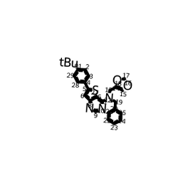 CC(C)(C)c1ccc(-c2cc3ncnc(N(CC4=COCO4)Cc4ccccc4)c3s2)cc1